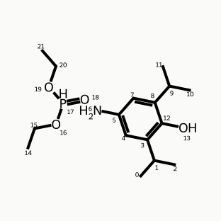 CC(C)c1cc(N)cc(C(C)C)c1O.CCO[PH](=O)OCC